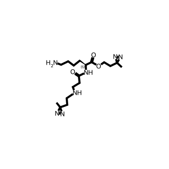 CC1(CCNCCC(=O)N[C@@H](CCCCN)C(=O)OCCC2(C)N=N2)N=N1